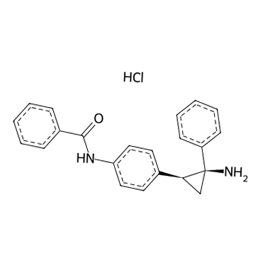 Cl.N[C@@]1(c2ccccc2)C[C@H]1c1ccc(NC(=O)c2ccccc2)cc1